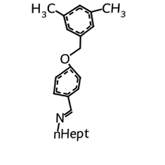 CCCCCCC/N=C/c1ccc(OCc2cc(C)cc(C)c2)cc1